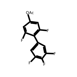 CC(=O)Oc1cc(F)c(-c2cc(F)c(F)c(F)c2)c(F)c1